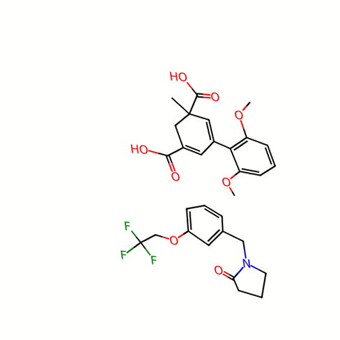 COc1cccc(OC)c1C1=CC(C)(C(=O)O)CC(C(=O)O)=C1.O=C1CCCN1Cc1cccc(OCC(F)(F)F)c1